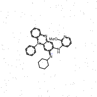 COc1ncccc1Nc1cc2nc3ccccc3n(-c3ccccc3)c-2c/c1=N\C1CCCCC1